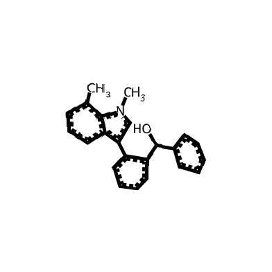 Cc1cccc2c(-c3ccccc3C(O)c3ccccc3)cn(C)c12